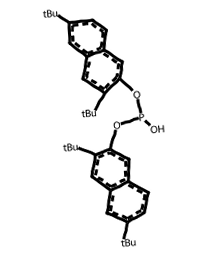 CC(C)(C)c1ccc2cc(OP(O)Oc3cc4ccc(C(C)(C)C)cc4cc3C(C)(C)C)c(C(C)(C)C)cc2c1